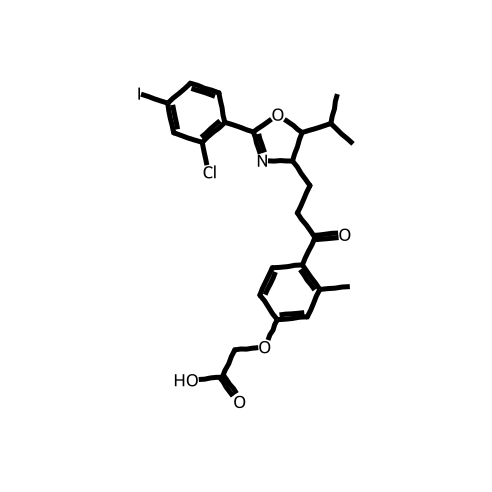 Cc1cc(OCC(=O)O)ccc1C(=O)CCC1N=C(c2ccc(I)cc2Cl)OC1C(C)C